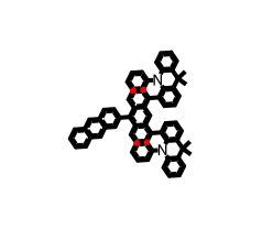 CC1(C)c2ccccc2N(c2ccccc2)c2c(-c3cccc4c(-c5ccc6cc7ccccc7cc6c5)c5cccc(-c6cccc7c6N(c6ccccc6)c6ccccc6C7(C)C)c5cc34)cccc21